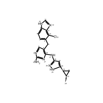 Nc1ncc(Cc2ccc3[nH]cnc3c2Cl)c(Nc2cc([C@H]3C[C@H]3F)[nH]n2)n1